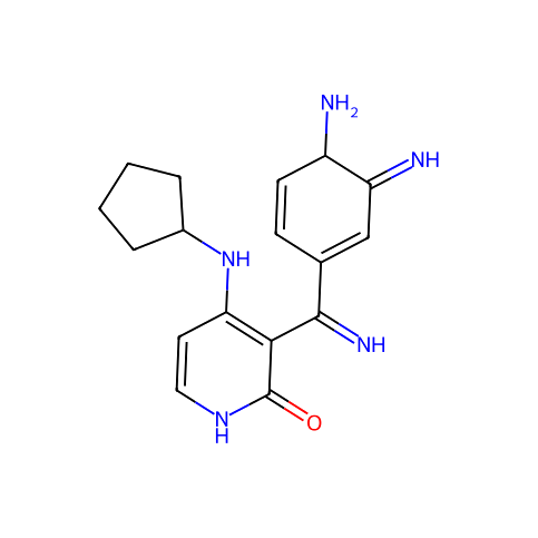 N=C(C1=CC(=N)C(N)C=C1)c1c(NC2CCCC2)cc[nH]c1=O